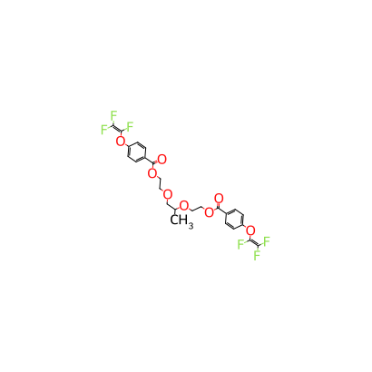 CC(COCCOC(=O)c1ccc(OC(F)=C(F)F)cc1)OCCOC(=O)c1ccc(OC(F)=C(F)F)cc1